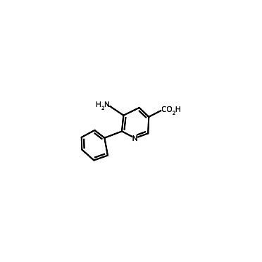 Nc1cc(C(=O)O)cnc1-c1ccccc1